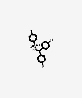 Cc1ccc(S(=O)(=O)NC(c2ccc(F)cc2)c2ccc(Cl)cc2)cc1